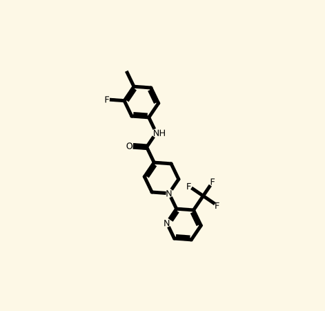 Cc1ccc(NC(=O)C2=CCN(c3ncccc3C(F)(F)F)CC2)cc1F